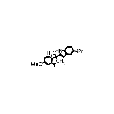 COc1ccc(C(C)(C)c2cc3cc(C(C)C)ccc3[nH]2)c(F)c1